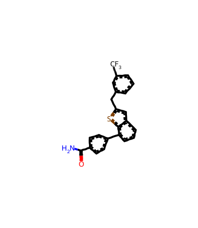 NC(=O)c1ccc(-c2cccc3cc(Cc4cccc(C(F)(F)F)c4)sc23)cc1